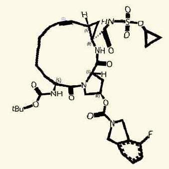 CC(C)(C)OC(=O)N[C@H]1CCCCC/C=C\[C@@H]2C[C@@]2(C(=O)NS(=O)(=O)OC2CC2)NC(=O)[C@@H]2C[C@@H](OC(=O)N3Cc4cccc(F)c4C3)CN2C1=O